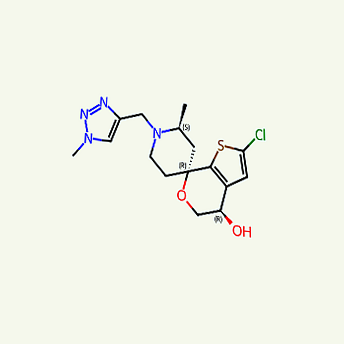 C[C@H]1C[C@@]2(CCN1Cc1cn(C)nn1)OC[C@H](O)c1cc(Cl)sc12